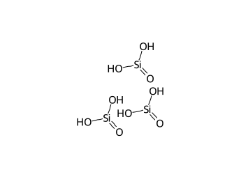 O=[Si](O)O.O=[Si](O)O.O=[Si](O)O